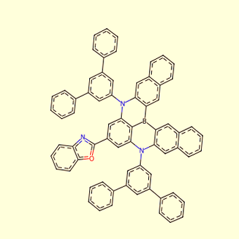 c1ccc(-c2cc(-c3ccccc3)cc(N3c4cc5ccccc5cc4B4c5cc6ccccc6cc5N(c5cc(-c6ccccc6)cc(-c6ccccc6)c5)c5cc(-c6nc7ccccc7o6)cc3c54)c2)cc1